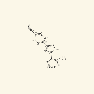 Cc1ccncc1-c1nc(-c2ccc(C#N)cc2)cs1